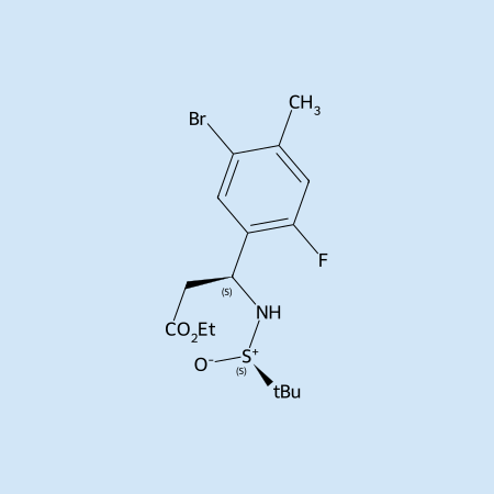 CCOC(=O)C[C@H](N[S@+]([O-])C(C)(C)C)c1cc(Br)c(C)cc1F